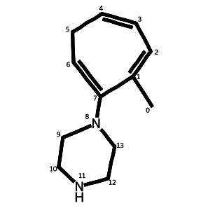 CC1=CC=CCC=C1N1CCNCC1